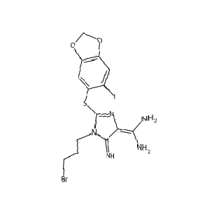 N=C1C(=C(N)N)N=C(Sc2cc3c(cc2I)OCO3)N1CCCBr